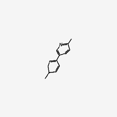 Cc1ccc(C2=CCC(C)C=C2)cn1